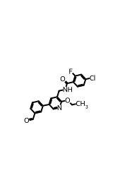 CCOc1ncc(-c2cccc(C=O)c2)cc1CNC(=O)c1ccc(Cl)cc1F